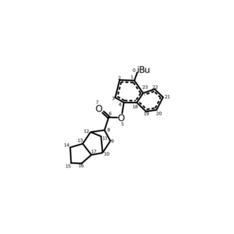 CCC(C)c1ccc(OC(=O)C2CC3CC2C2CCCC32)c2ccccc12